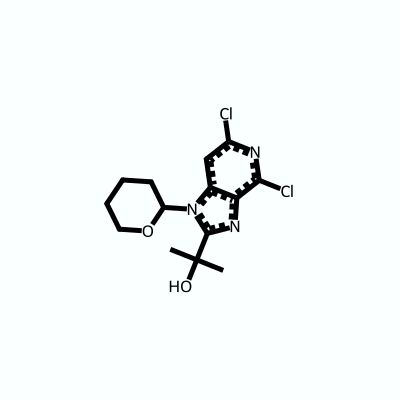 CC(C)(O)c1nc2c(Cl)nc(Cl)cc2n1C1CCCCO1